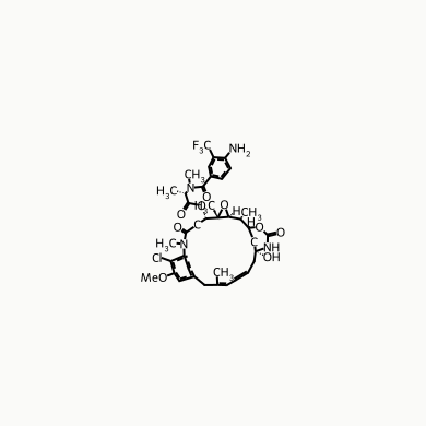 COc1cc2cc(c1Cl)N(C)C(=O)C[C@H](OC(=O)[C@H](C)N(C)C(=O)c1ccc(N)c(C(F)(F)F)c1)[C@]1(C)O[C@H]1[C@H](C)[C@@H]1C[C@](O)(C/C=C/C=C(\C)C2)NC(=O)O1